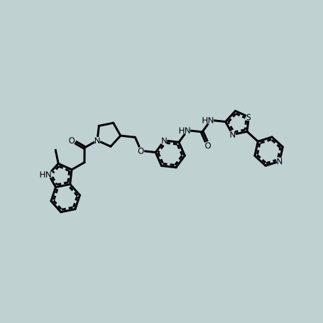 Cc1[nH]c2ccccc2c1CC(=O)N1CCC(COc2cccc(NC(=O)Nc3csc(-c4ccncc4)n3)n2)C1